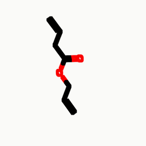 C=CCOC(=O)CC=C